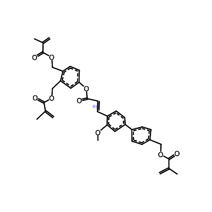 C=C(C)C(=O)OCc1ccc(-c2ccc(/C=C/C(=O)Oc3ccc(COC(=O)C(=C)C)c(COC(=O)C(=C)C)c3)c(OC)c2)cc1